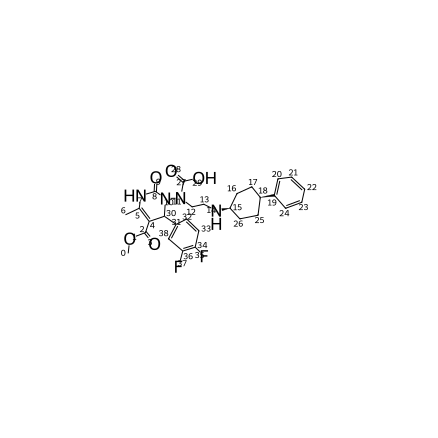 COC(=O)C1=C(C)NC(=O)N(N(CCN[C@H]2CC[C@@H](c3ccccc3)CC2)C(=O)O)C1c1ccc(F)c(F)c1